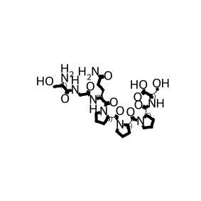 NC(=O)CC[C@H](NC(=O)CNC(=O)[C@@H](N)CO)C(=O)N1CCC[C@H]1C(=O)N1CCC[C@H]1C(=O)N1CCC[C@H]1C(=O)N[C@@H](CO)C(=O)O